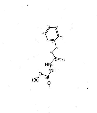 CC(C)(C)OC(=O)NNC(=O)CCc1ccccc1